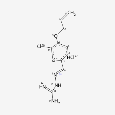 C=CCOc1ccc(/C=N/NC(=N)N)cc1Cl.Cl